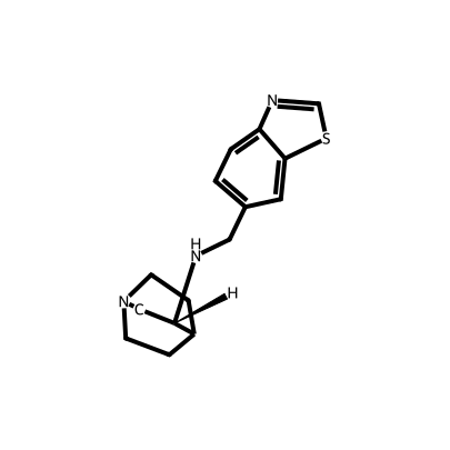 c1nc2ccc(CN[C@H]3CN4CCC3CC4)cc2s1